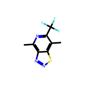 Cc1nc(C(F)(F)F)c(C)c2snnc12